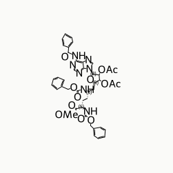 COC(=O)[C@H](CC[C@@H](C[C@H]1O[C@@H](n2cnc3c(NC(=O)c4ccccc4)ncnc32)C(OC(C)=O)C1OC(C)=O)NC(=O)OCc1ccccc1)NC(=O)OCc1ccccc1